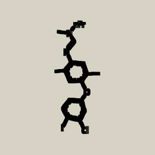 CCCN(C)C=Nc1cc(C)c(Oc2ccc(I)c(Cl)c2)cc1C